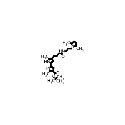 Cc1[nH]c(-c2cc(C(=O)OC(C)(C)C)c(C)[nH]2)cc1CCCC(=O)NCCCn1c(C)ccc1C